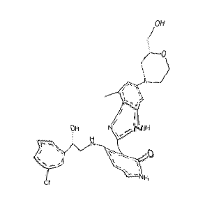 Cc1cc(N2CCO[C@@H](CO)C2)cc2[nH]c(-c3c(NC[C@@H](O)c4cccc(Cl)c4)cc[nH]c3=O)nc12